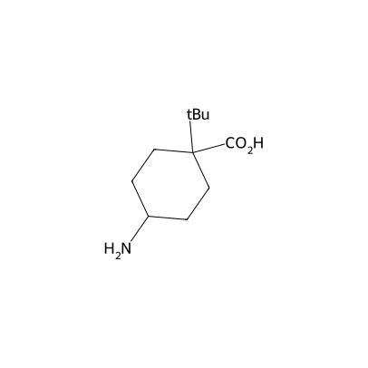 CC(C)(C)C1(C(=O)O)CCC(N)CC1